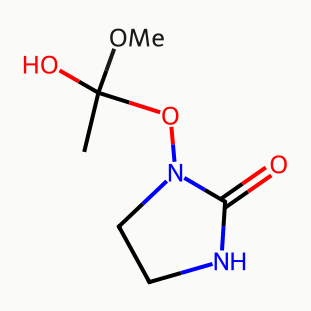 COC(C)(O)ON1CCNC1=O